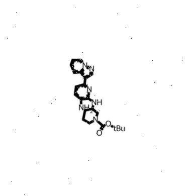 CC(C)(C)OC(=O)N1CCCC(Nc2nc(-c3cnn4ccccc34)ccc2N)C1